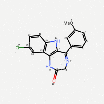 COc1cccc(C2=NCC(=O)Nc3c2[nH]c2ccc(Cl)cc32)c1